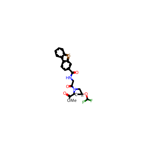 COC(=O)C1C[C@@H](OC(F)F)CN1C(=O)CNC(=O)c1ccc2c(c1)sc1ccccc12